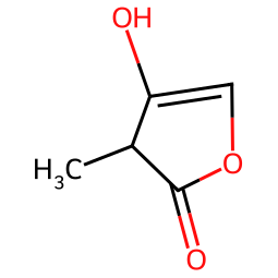 CC1C(=O)OC=C1O